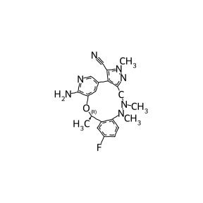 C[C@H]1Oc2cc(cnc2N)-c2c(nn(C)c2C#N)CN(C)N(C)c2ccc(F)cc21